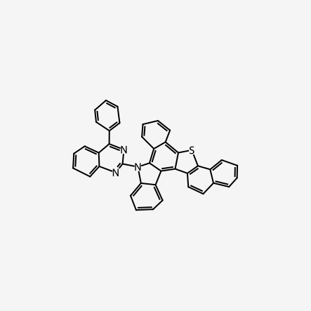 c1ccc(-c2nc(-n3c4ccccc4c4c5c6ccc7ccccc7c6sc5c5ccccc5c43)nc3ccccc23)cc1